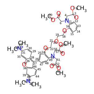 COC(=O)CN(CC(=O)OC)c1ccccc1OCCOCCOc1cc(-c2c3ccc(=[N+](C)C)cc-3oc3cc(N(C)C)ccc23)ccc1N(CC(=O)OC)CC(=O)OC